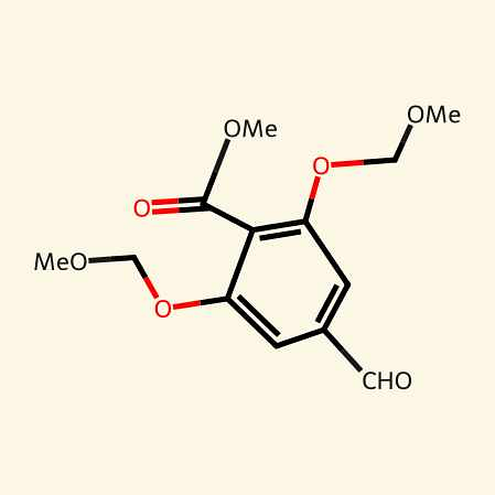 COCOc1cc(C=O)cc(OCOC)c1C(=O)OC